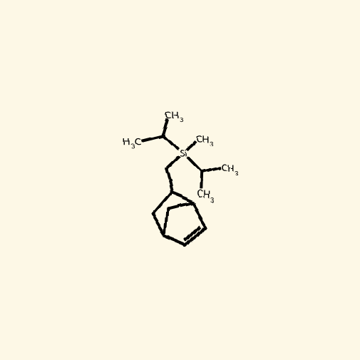 CC(C)[Si](C)(CC1CC2C=CC1C2)C(C)C